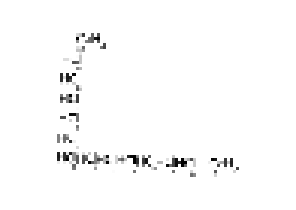 Cl.Cl.Cl.Cl.Cl.Cl.Cl.Cl.Cl.Cl.Cl.Cl.[CaH2].[CaH2]